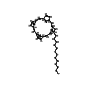 CCCCCCCCCCCCCC1=CC2=CC3=NC(=CC4=NC(=CC5=NC(=CC1=N2)C=C5)C=C4)C=C3